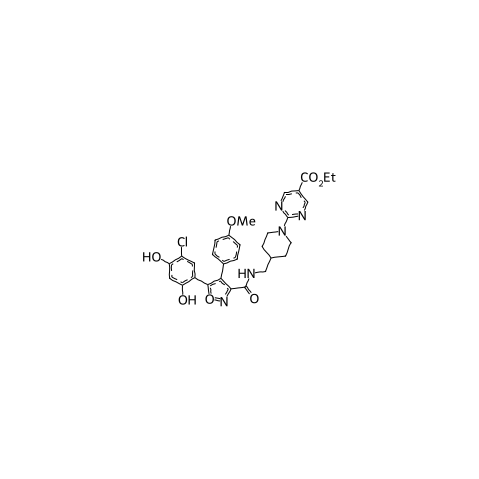 CCOC(=O)c1cnc(N2CCC(CNC(=O)c3noc(-c4cc(Cl)c(O)cc4O)c3-c3ccc(OC)cc3)CC2)nc1